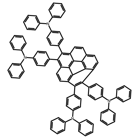 c1ccc(N(c2ccccc2)c2ccc(-c3c(-c4ccc(N(c5ccccc5)c5ccccc5)cc4)c4ccc5c(-c6ccc(N(c7ccccc7)c7ccccc7)cc6)c(-c6ccc(N(c7ccccc7)c7ccccc7)cc6)c6ccc7ccc3c3c7c6c5c43)cc2)cc1